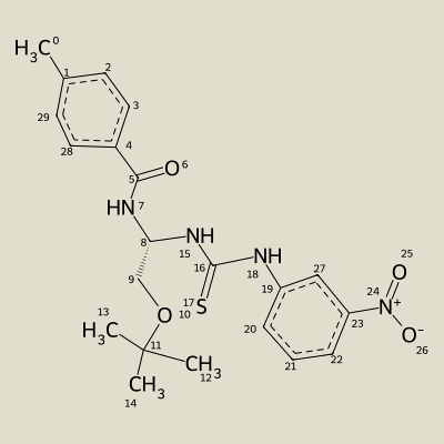 Cc1ccc(C(=O)N[C@@H](COC(C)(C)C)NC(=S)Nc2cccc([N+](=O)[O-])c2)cc1